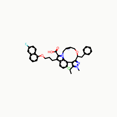 CCc1c2c(nn1C)C(Cc1ccccc1)OC/C=C\Cn1c(C(=O)O)c(CCCOc3cccc4cc(F)ccc34)c3ccc(Cl)c-2c31